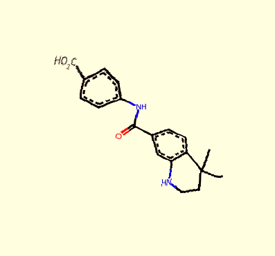 CC1(C)CCNc2cc(C(=O)Nc3ccc(C(=O)O)cc3)ccc21